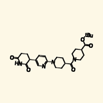 CC(C)(C)OC(=O)C1CCN(C(=O)C2CCN(c3ccc(C4CCC(=O)NC4=O)cn3)CC2)CC1